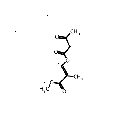 COC(=O)C(C)=COC(=O)CC(C)=O